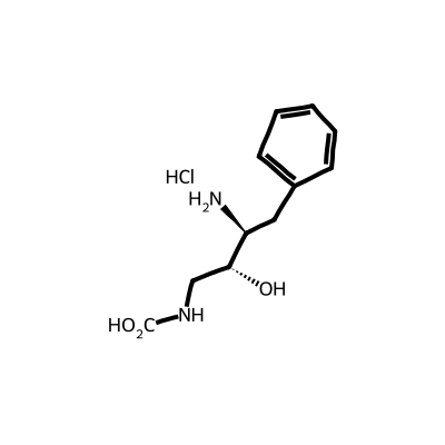 Cl.N[C@@H](Cc1ccccc1)[C@H](O)CNC(=O)O